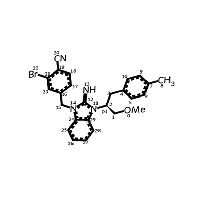 COC[C@H](Cc1ccc(C)cc1)n1c(=N)n(Cc2ccc(C#N)c(Br)c2)c2ccccc21